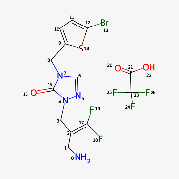 NCC(Cn1ncn(Cc2ccc(Br)s2)c1=O)=C(F)F.O=C(O)C(F)(F)F